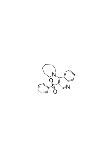 O=S(=O)(c1ccccc1)c1cnc2ccccc2c1N1CCCCCC1